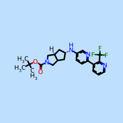 CC(C)(C)OC(=O)N1CC2C[C@@H](Nc3ccc(-c4cccnc4C(F)(F)F)nc3)C[C@@H]2C1